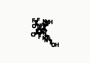 O=C(Nc1cc(Cl)c(F)c2c1c(-c1cn[nH]c1)cn2-c1cn(CCO)nn1)C(F)F